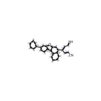 N#C/C=C/C(=C\C=N)c1cc2oc3cc(-c4ccccc4)ccc3c2c2ccccc12